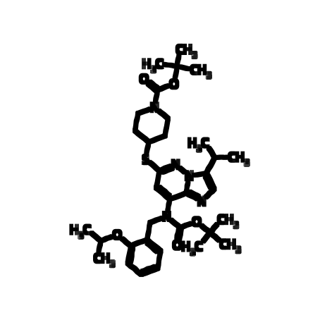 CC(C)Oc1ccccc1CN(C(=O)OC(C)(C)C)c1cc(SC2CCN(C(=O)OC(C)(C)C)CC2)nn2c(C(C)C)cnc12